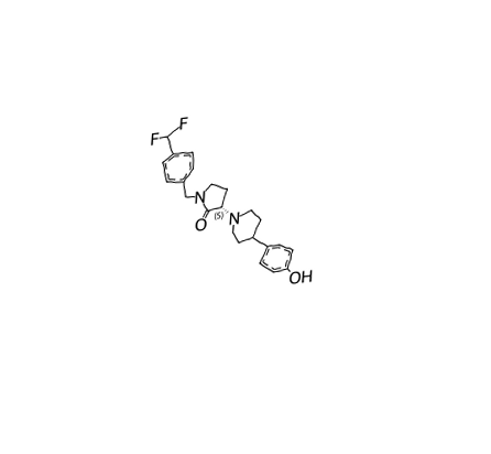 O=C1[C@@H](N2CCC(c3ccc(O)cc3)CC2)CCN1Cc1ccc(C(F)F)cc1